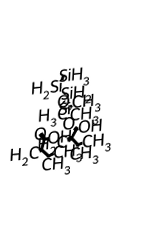 C=C(C(=O)O)C(C)C.C=C(C(=O)O)C(C)C.C[Si](C)(C)O[SiH2][SiH2][SiH3]